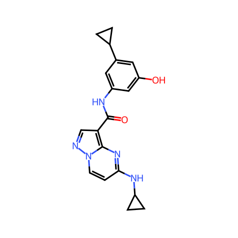 O=C(Nc1cc(O)cc(C2CC2)c1)c1cnn2ccc(NC3CC3)nc12